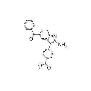 COC(=O)c1ccc(-c2c(N)nc3ccc(C(=O)c4ccccc4)cn23)cc1